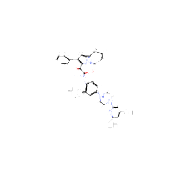 Cc1cc(C)nc(N2CCN(c3ccc(NC(=O)C(=O)c4c(-c5ccccc5)cc5n4CCCC5)c(C)c3)CC2)c1